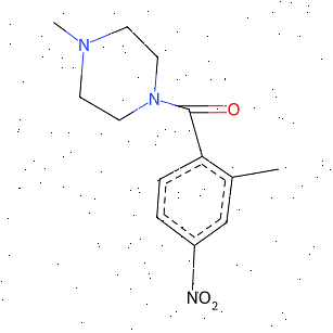 Cc1cc([N+](=O)[O-])ccc1C(=O)N1CCN(C)CC1